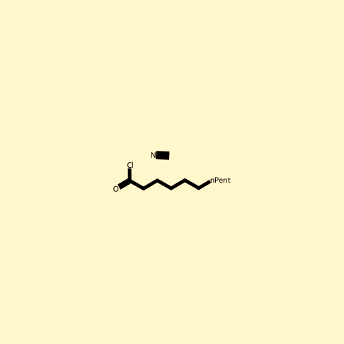 C#N.CCCCCCCCCCC(=O)Cl